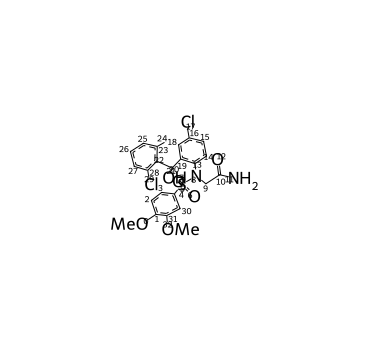 COc1ccc(S(=O)(=O)N(CC(N)=O)c2ccc(Cl)cc2C(O)c2c(C)cccc2Cl)cc1OC